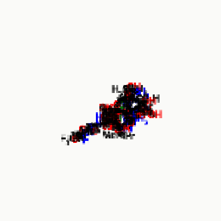 CN[C@H](CC(C)C)C(=O)NC1C(=O)N[C@@H](CC(N)=O)C(=O)N[C@H]2C(=O)N[C@H]3C(=O)N[C@H](C(=O)N[C@@H](C(=O)O)c4cc(O)c(CN(CCO)CCO)c(O)c4-c4cc3ccc4O)[C@H](OC3C[C@](C)(N)[C@@H](O)[C@H](C)O3)c3ccc(c(Cl)c3)Oc3cc2cc(c3O[C@@H]2O[C@H](CO)[C@@H](O[C@@H]3O[C@H](CNCCn4ccc(NC(=O)c5ccc(OC(F)(F)F)cc5)nc4=O)[C@H](O)[C@H](O)[C@H]3O)[C@H](O)[C@H]2O)Oc2ccc(cc2Cl)[C@H]1O